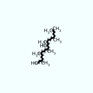 CC(C)=CCCC(C)=CCCC(C)=CC(O)CC(C)=CCCC(C)=CCCC(C)=CCO